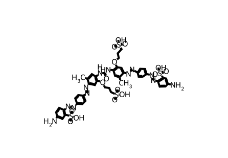 Cc1cc(NC(=O)Nc2cc(C)c(N=Nc3ccc(N=Nc4ccc(N)cc4S(=O)(=O)O)cc3)cc2OCCCS(=O)(=O)O)c(OCCCS(=O)(=O)O)cc1N=Nc1ccc(N=Nc2ccc(N)cc2S(=O)(=O)O)cc1